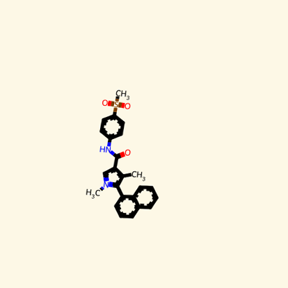 Cc1c(C(=O)Nc2ccc(S(C)(=O)=O)cc2)cn(C)c1-c1cccc2ccccc12